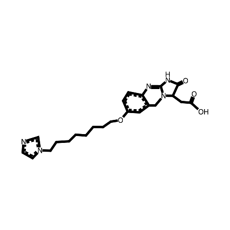 O=C(O)CC1C(=O)NC2=Nc3ccc(OCCCCCCCCn4ccnc4)cc3CN21